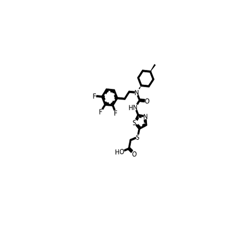 C[C@H]1CC[C@H](N(CCc2ccc(F)c(F)c2F)C(=O)Nc2ncc(SCC(=O)O)s2)CC1